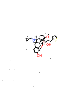 COC12CC[C@@]3(CC1[C@](C)(O)CCc1cccs1)[C@@H]1N(CC4CC4)CC14Cc1ccc(O)c5c1CC4[C@@H]3[C@]2(C)O5